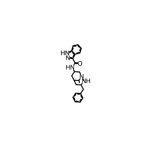 CC1C2CC(NC(=O)c3n[nH]c4ccccc34)CN1NC(Cc1ccccc1)C2